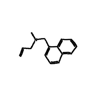 C=CCN(C)Cc1cccc2ccccc12